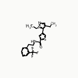 CCc1cnn(CC)c1-c1csc(C(=O)NCCc2ccccc2C(F)(F)F)c1